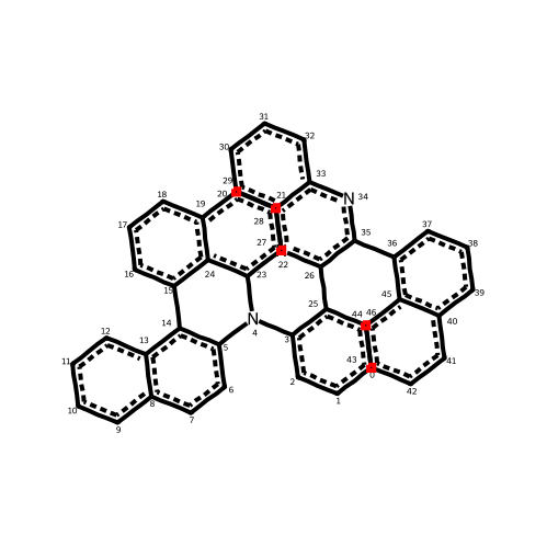 c1ccc(N2c3ccc4ccccc4c3-c3cccc4cccc2c34)c(-c2nc3ccccc3nc2-c2cccc3ccccc23)c1